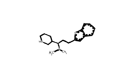 CN(C)C(CCc1cc2ccccc2s1)C1CCCNC1